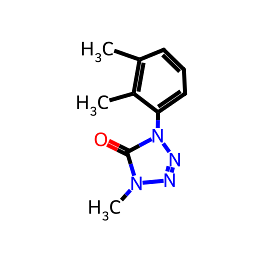 Cc1cccc(-n2nnn(C)c2=O)c1C